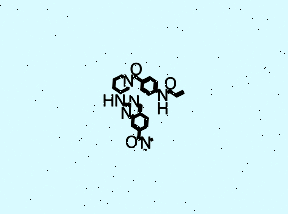 C=CC(=O)Nc1ccc(C(=O)N2CCC[C@@H](Nc3ncc4ccc(C(=O)N(C)C)cc4n3)C2)cc1